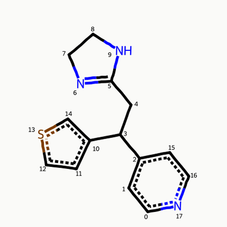 c1cc(C(CC2=NCCN2)c2ccsc2)ccn1